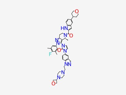 Cc1cc(-n2nc3c(c2-n2ccn(-c4ccc5c(cnn5CCN5CCN(C6COC6)CC5)c4)c2=O)[C@H](C)N(C(=O)c2cc4cc(C5CCOCC5)ccc4[nH]2)CC3)cc(C)c1F